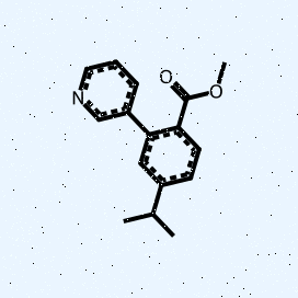 COC(=O)c1ccc(C(C)C)cc1-c1cccnc1